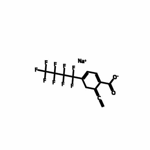 C=C=C1CC(C(F)(F)C(F)(F)C(F)(F)C(F)(F)F)=CC=C1C(=O)[O-].[Na+]